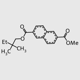 CCC(C)(C)COC(=O)c1ccc2cc(C(=O)OC)ccc2c1